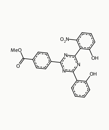 COC(=O)c1ccc(-c2nc(-c3ccccc3O)nc(-c3c(O)cccc3[N+](=O)[O-])n2)cc1